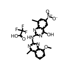 COc1cccc2c(C)nc(Nc3nc(O)c4cc([N+](=O)[O-])cc(C)c4n3)nc12.O=C(O)C(F)(F)F